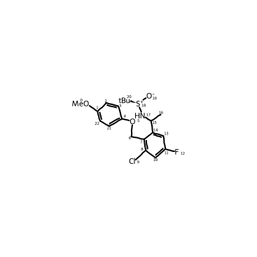 COc1ccc(OCc2c(Cl)cc(F)cc2C(C)N[S@+]([O-])C(C)(C)C)cc1